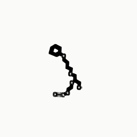 [O]CC(COCCCCOc1ccccc1)OCCOC=O